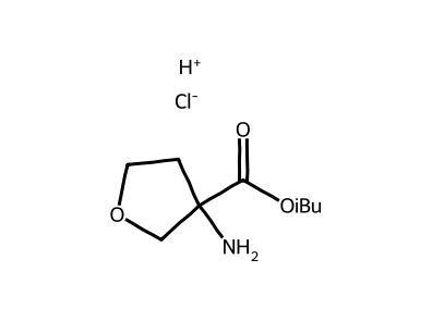 CC(C)COC(=O)C1(N)CCOC1.[Cl-].[H+]